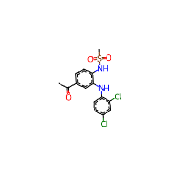 CC(=O)c1ccc(NS(C)(=O)=O)c(Nc2ccc(Cl)cc2Cl)c1